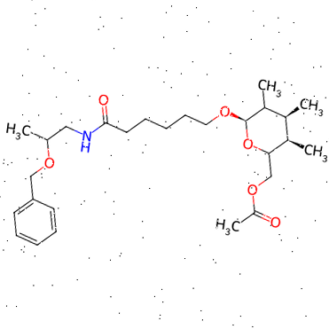 CC(=O)OCC1O[C@@H](OCCCCCC(=O)NCC(C)OCc2ccccc2)C(C)[C@@H](C)[C@H]1C